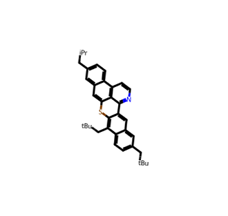 CC(C)Cc1ccc2c(c1)cc1c3c(nccc32)-c2cc3cc(CC(C)(C)C)ccc3c(CC(C)(C)C)c2S1